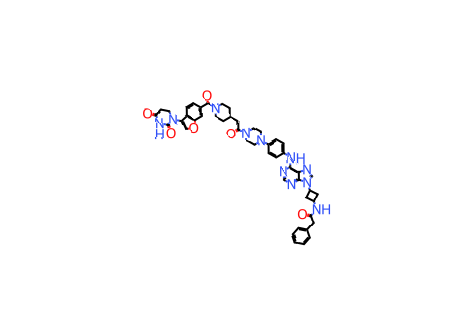 O=C1CCN(c2coc3cc(C(=O)N4CCC(CC(=O)N5CCN(c6ccc(Nc7ncnc8c7ncn8C7CC(NC(=O)Cc8ccccc8)C7)cc6)CC5)CC4)ccc23)C(=O)N1